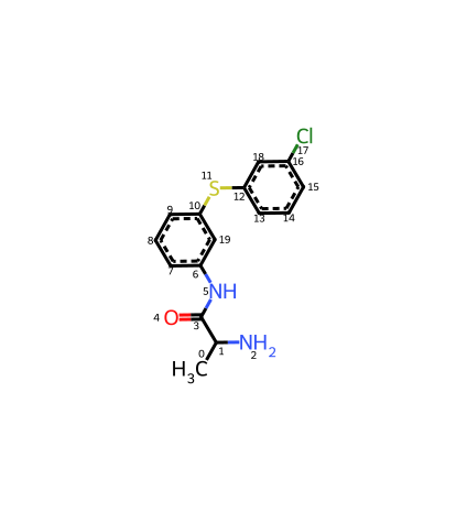 CC(N)C(=O)Nc1cccc(Sc2cccc(Cl)c2)c1